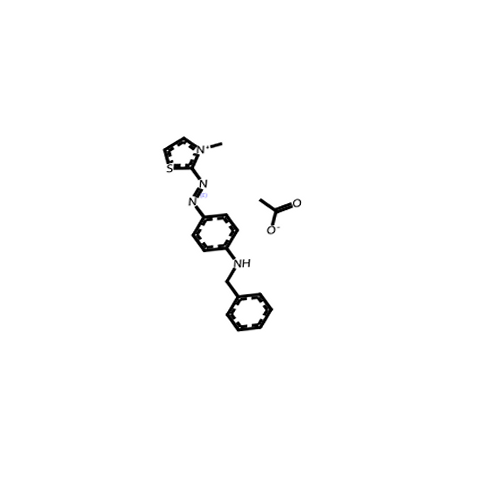 CC(=O)[O-].C[n+]1ccsc1/N=N/c1ccc(NCc2ccccc2)cc1